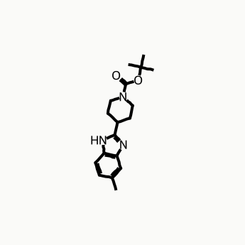 Cc1ccc2[nH]c(C3CCN(C(=O)OC(C)(C)C)CC3)nc2c1